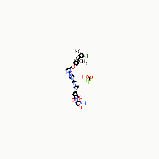 CC(C)(c1ccc(OCc2ccnc(N3CCN(C4CN(C5CCN(c6ccc7c(c6)C(=O)N(C6CCC(=O)NC6=O)C7=O)C5)C4)CC3)n2)cc1)c1cc(Cl)cc(C#N)c1.O=C(O)C(F)(F)F